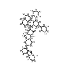 CC1(C)c2cc(-c3cccc4c3sc3ccccc34)ccc2-c2ccc(N(c3cc(-c4ccccc4)cc(-c4ccccc4)c3)c3cccc4ccccc34)cc21